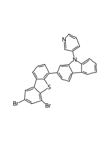 Brc1cc(Br)c2sc3c(-c4ccc5c6ccccc6n(-c6cccnc6)c5c4)cccc3c2c1